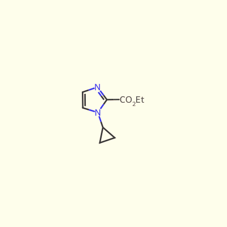 CCOC(=O)c1nccn1C1CC1